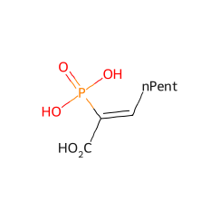 CCCCCC=C(C(=O)O)P(=O)(O)O